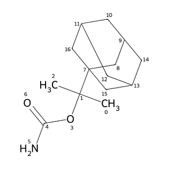 CC(C)(OC(N)=O)C12CC3CC(CC(C3)C1)C2